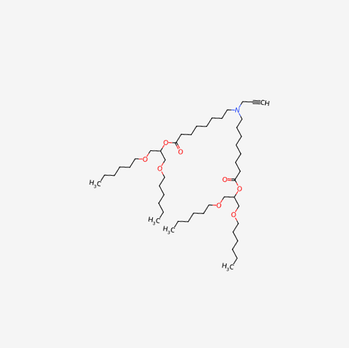 C#CCN(CCCCCCCC(=O)OC(COCCCCCC)COCCCCCC)CCCCCCCC(=O)OC(COCCCCCC)COCCCCCC